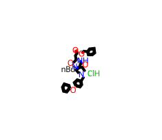 CCCCN1C(=O)C(CC(=O)OCc2ccccc2)NC(=O)C12CCN(Cc1ccc(Oc3ccccc3)cc1)CC2.Cl